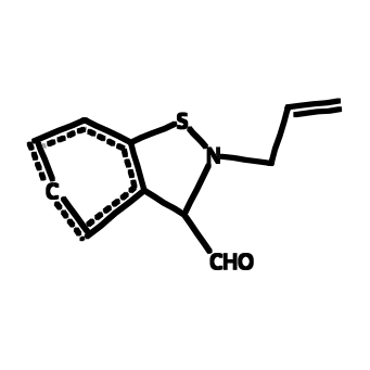 C=CCN1Sc2ccccc2C1C=O